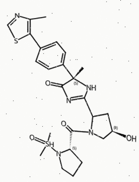 Cc1ncsc1-c1ccc([C@]2(C)NC(C3C[C@@H](O)CN3C(=O)[C@@H]3CCCN3[SH](C)(C)=O)=NC2=O)cc1